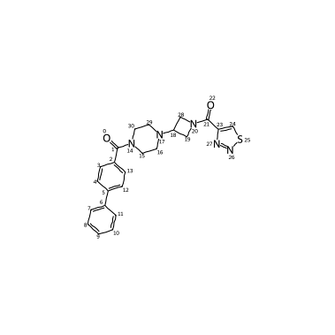 O=C(c1ccc(-c2ccccc2)cc1)N1CCN(C2CN(C(=O)c3csnn3)C2)CC1